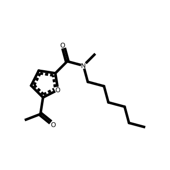 CCCCCCN(C)C(=O)c1ccc(C(C)=O)o1